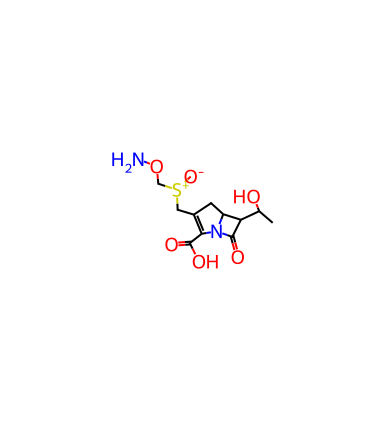 CC(O)C1C(=O)N2C(C(=O)O)=C(C[S+]([O-])CON)CC12